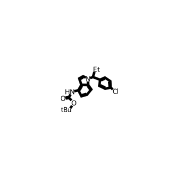 CCC(c1ccc(Cl)cc1)n1ccc2c(NC(=O)OC(C)(C)C)cccc21